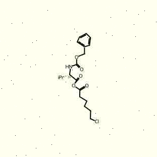 CC(C)[C@H](NC(=O)OCc1ccccc1)C(=O)OC(=O)CCCCCCl